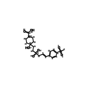 CS(=O)(=O)c1ccc(C=CCS(=O)(=O)CCC2(O)CCN(C(=O)O)CC2)cc1